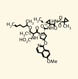 C=CCCC(C)O[C@@H](C)C(NC(=O)O)C(=O)N1C[C@H](Oc2nccc3cc(OC)ccc23)C[C@H]1C(=O)N[C@]1(C(=O)NS(=O)(=O)C2(C)CC2)C[C@H]1C=C